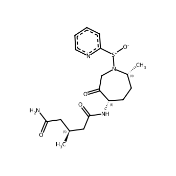 C[C@@H](CC(N)=O)CC(=O)N[C@H]1CC[C@@H](C)N([S+]([O-])c2ccccn2)CC1=O